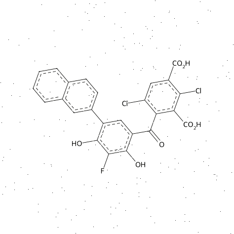 O=C(O)c1cc(Cl)c(C(=O)c2cc(-c3ccc4ccccc4c3)c(O)c(F)c2O)c(C(=O)O)c1Cl